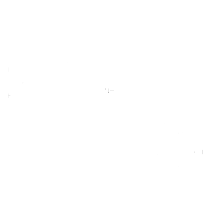 CC1(C)Oc2ccc(CNCCc3cccc(C(F)(F)F)c3)cc2O1